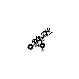 CN(C)C(=O)C1(C)COC(c2nc(-c3ccc(F)cc3)c(-c3ccnc(Nc4ccccc4)n3)[nH]2)OC1